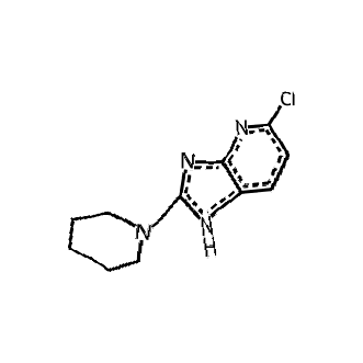 Clc1ccc2[nH]c(N3CCCCC3)nc2n1